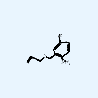 C=CCOCc1cc(Br)ccc1N